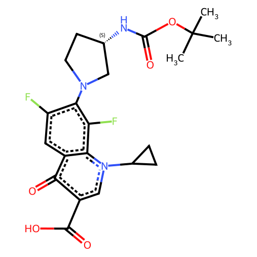 CC(C)(C)OC(=O)N[C@H]1CCN(c2c(F)cc3c(=O)c(C(=O)O)cn(C4CC4)c3c2F)C1